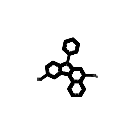 Cc1cc2c(c3ccccc13)c1cc(S)ccc1n2-c1ccccc1